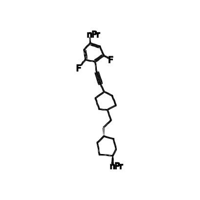 CCCc1cc(F)c(C#CC2CCC(CC[C@H]3CC[C@H](CCC)CC3)CC2)c(F)c1